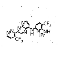 CC(C)Nc1nc(Nc2ccnc3nc(-c4nnccc4C(F)(F)F)cnc23)ccc1C(F)(F)F